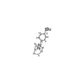 CN1C2CCC1CN(c1ccc(C(C)(C)C)cc1)C2